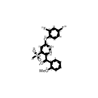 COc1ccccc1C(=O)c1nnc(Oc2ccc(F)cc2F)cc1S(C)(=O)=O